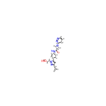 O=C(Nc1ccc(-c2cc(C3CC3)nn2CCO)cc1)C1CN(c2cccnn2)C1